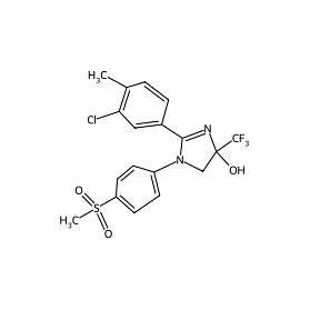 Cc1ccc(C2=NC(O)(C(F)(F)F)CN2c2ccc(S(C)(=O)=O)cc2)cc1Cl